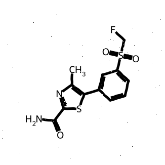 Cc1nc(C(N)=O)sc1-c1cccc(S(=O)(=O)CF)c1